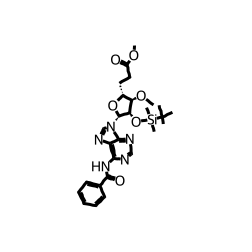 COC(=O)CC[C@H]1O[C@@H](n2cnc3c(NC(=O)c4ccccc4)ncnc32)[C@H](O[Si](C)(C)C(C)(C)C)[C@@H]1OC